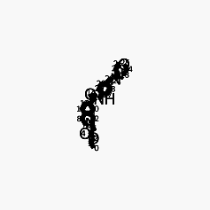 CCOC(=O)CN1CCc2ccc(C(=O)Nc3ccc(C=NN4CCOCC4)cc3)cc2C1